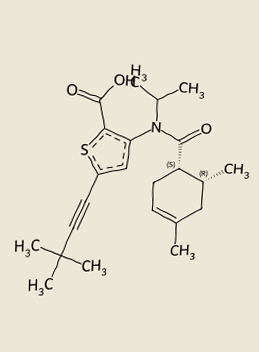 CC1=CC[C@H](C(=O)N(c2cc(C#CC(C)(C)C)sc2C(=O)O)C(C)C)[C@H](C)C1